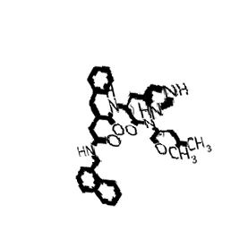 CC(C)C[C@@H](C=O)NC(=O)[C@H](Cc1c[nH]cn1)NC(=O)C(=Cc1ccccc1)CC(=O)NCc1cccc2ccccc12